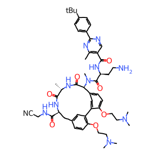 Cc1nc(-c2ccc(C(C)(C)C)cc2)ncc1C(=O)N[C@@H](CCN)C(=O)N(C)[C@@H]1C(=O)N[C@@H](C)C(=O)N[C@H](C(=O)NCC#N)Cc2ccc(OCCN(C)C)c(c2)-c2cc1ccc2OCCN(C)C